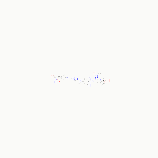 C=CCn1c(=O)c2cnc(Nc3ccc(N4CCC(CNC5CCN(c6ccc([C@H]7CCC(=O)NC7=O)cc6)CC5)CC4)cc3)nc2n1-c1ccc2c(n1)[C@@](O)(CI)CC2